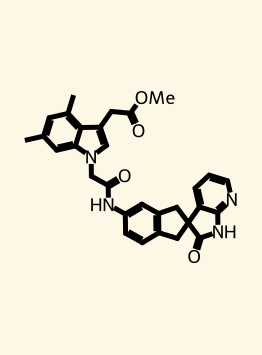 COC(=O)Cc1cn(CC(=O)Nc2ccc3c(c2)CC2(C3)C(=O)Nc3ncccc32)c2cc(C)cc(C)c12